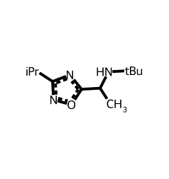 CC(C)c1noc(C(C)NC(C)(C)C)n1